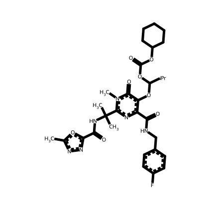 Cc1nnc(C(=O)NC(C)(C)c2nc(C(=O)NCc3ccc(F)cc3)c(OC(OC(=O)OC3CCCCC3)C(C)C)c(=O)n2C)o1